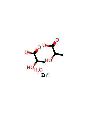 CC(O)C(=O)[O-].CC(O)C(=O)[O-].O.[Zn+2]